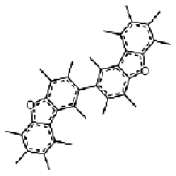 Cc1c(C)c(C)c2c(oc3c(C)c(C)c(-c4c(C)c(C)c5oc6c(C)c(C)c(C)c(C)c6c5c4C)c(C)c32)c1C